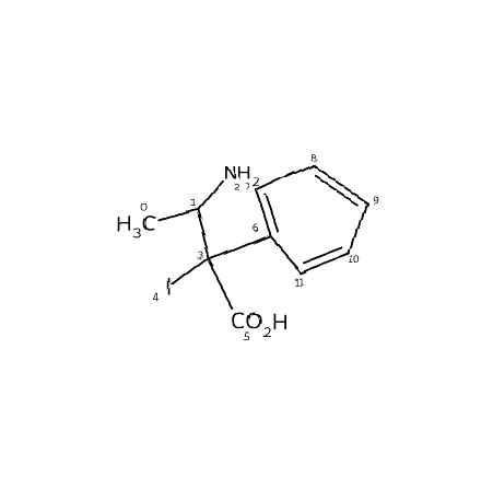 CC(N)C(I)(C(=O)O)c1ccccc1